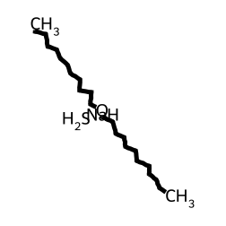 CCCCCCCCCCCCOCCCCCCCCCCCC.S.[NaH]